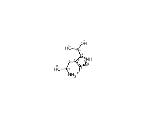 Cc1n[nH]c(B(O)O)c1CC(N)O